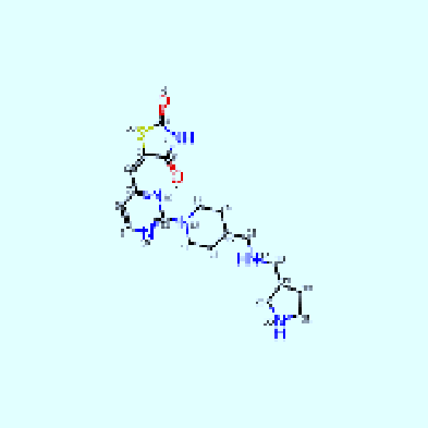 O=C1NC(=O)/C(=C\c2ccnc(N3CCC(CNCC4CCNC4)CC3)n2)S1